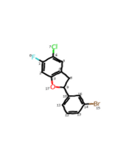 Fc1cc2c(cc1Cl)CC(c1cccc(Br)c1)O2